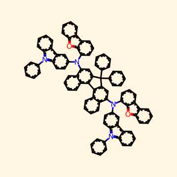 c1ccc(-n2c3ccccc3c3cc(N(c4cc5c(c6ccccc46)-c4c(cc(N(c6ccc7c(c6)c6ccccc6n7-c6ccccc6)c6cccc7c6oc6ccccc67)c6ccccc46)C5(c4ccccc4)c4ccccc4)c4cccc5c4oc4ccccc45)ccc32)cc1